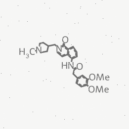 COc1ccc(CC(=O)Nc2cccc3c(=O)n(CC4CCN(C)CC4)ccc23)cc1OC